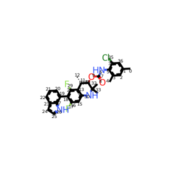 Cc1cc(C)c(NC(=O)O[C@@H]2[C@@H](C)c3c(cc(F)c(-c4cccc5cc[nH]c45)c3F)NC2(C)C)c(Cl)c1